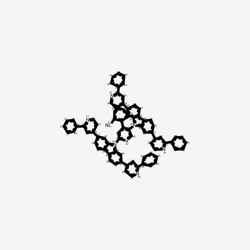 N#Cc1ccccc1-c1cc(-n2c3cc(-c4ccnc(-c5ccccc5)c4)ccc3c3ccc(-c4ccnc(-c5ccccc5)c4)cc32)ncc1-n1c2cc(-c3ccnc(-c4ccccc4)c3)ccc2c2ccc(-c3ccnc(-c4ccccc4)c3)cc21